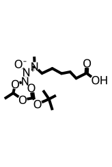 CC(ON=[N+]([O-])N(C)CCCCCC(=O)O)OC(=O)OC(C)(C)C